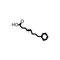 O=C(O)CC/C=C/CCCc1ccccc1